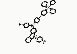 Fc1ccc(N(c2ccc(-c3ccc([Si](c4ccccc4)(c4ccccc4)c4ccccc4)cc3)cc2)c2ccc3c(c2)c2ccccc2n3-c2ccc(F)cc2)cc1